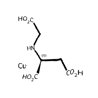 O=C(O)CN[C@@H](CC(=O)O)C(=O)O.[Cu]